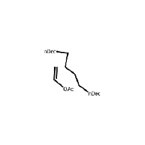 C=COC(C)=O.CCCCCCCCCCCCCCCCCCCCCCCC